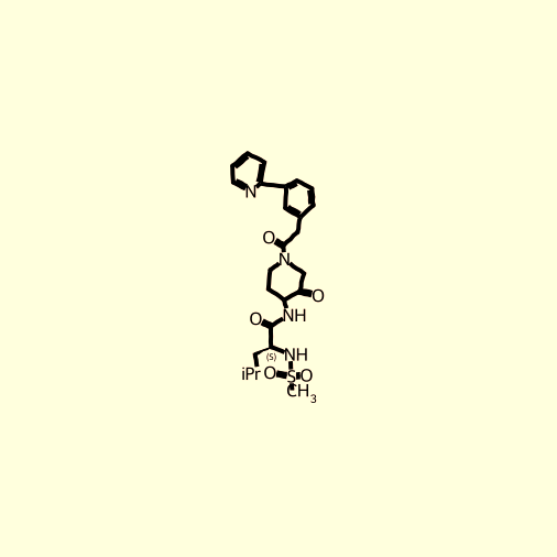 CC(C)C[C@H](NS(C)(=O)=O)C(=O)NC1CCN(C(=O)Cc2cccc(-c3ccccn3)c2)CC1=O